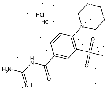 CS(=O)(=O)c1cc(C(=O)NC(=N)N)ccc1N1CCCCC1.Cl.Cl